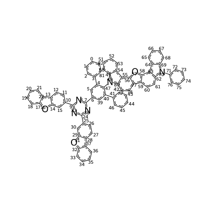 c1ccc(-c2cc(-c3nc(-c4ccc5c(c4)oc4ccccc45)nc(-c4ccc5c(c4)oc4ccccc45)n3)cc(-c3ccccc3)c2-n2c3ccccc3c3c4oc5c(ccc6c5c5ccccc5n6-c5ccccc5)c4ccc32)cc1